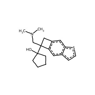 CN(C)CC1(C2(O)CCCC2)Cc2cc3sccc3cc21